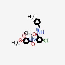 COc1ccc(C(=O)Nc2ccc(Cl)cc2C(=O)NN=Cc2ccc(C)cc2)cc1OC